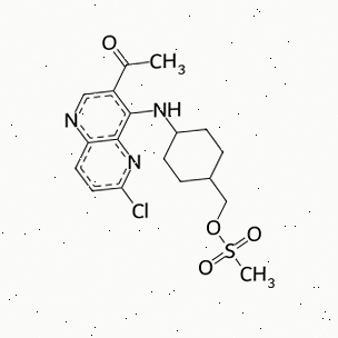 CC(=O)c1cnc2ccc(Cl)nc2c1NC1CCC(COS(C)(=O)=O)CC1